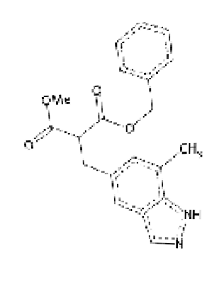 COC(=O)C(Cc1cc(C)c2[nH]ncc2c1)C(=O)OCc1ccccc1